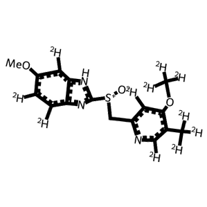 [2H]c1nc(C[S+]([O-])c2nc3c([2H])c([2H])c(OC)c([2H])c3[nH]2)c([2H])c(OC([2H])([2H])[2H])c1C([2H])([2H])[2H]